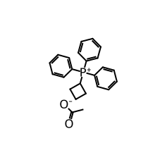 CC(=O)[O-].c1ccc([P+](c2ccccc2)(c2ccccc2)C2CCC2)cc1